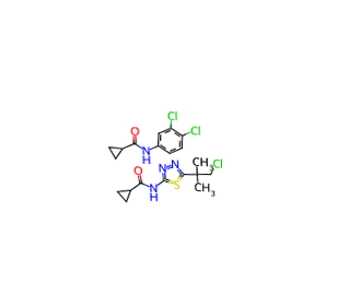 CC(C)(CCl)c1nnc(NC(=O)C2CC2)s1.O=C(Nc1ccc(Cl)c(Cl)c1)C1CC1